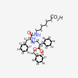 O=C(O)CCCCCCNC(=O)[C@H](Cc1ccccc1)NC[C@H](C(=O)OCc1ccccc1)c1ccccc1